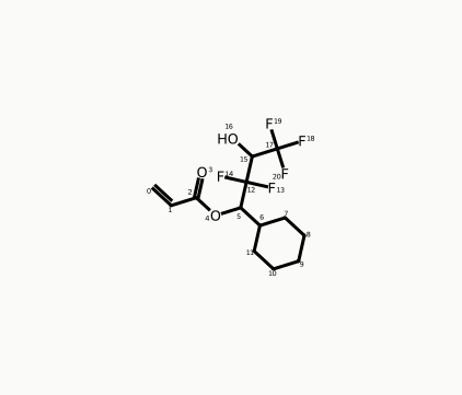 C=CC(=O)OC(C1CCCCC1)C(F)(F)C(O)C(F)(F)F